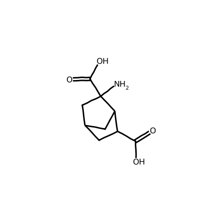 NC1(C(=O)O)CC2CC(C(=O)O)C1C2